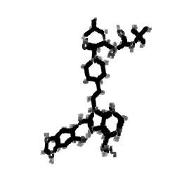 CC(C)C[C@H](NC(=O)OC(C)(C)C)C(=O)N1CCC(CCn2c(Sc3cc4c(cc3Br)OCO4)nc3c(N)ncnc32)CC1